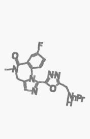 CCCNCc1nnc(-c2ncc3n2-c2ccc(F)cc2C(=O)N(C)C3)o1